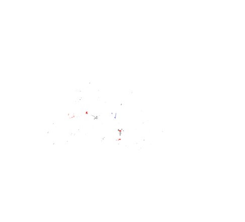 CC1(C)c2ccccc2-c2c(-c3ccccc3N(c3ccc4ccccc4c3)c3ccccc3-c3ccc4oc5ccccc5c4c3)cccc21